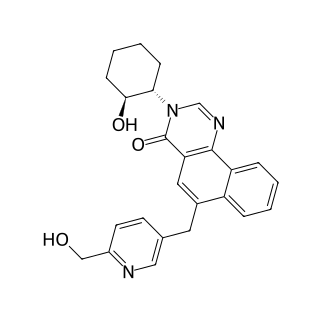 O=c1c2cc(Cc3ccc(CO)nc3)c3ccccc3c2ncn1[C@H]1CCCC[C@@H]1O